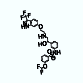 O=S(=O)(Nc1cccc(C(O)CNCCOc2ccc3c(C(F)(F)F)n[nH]c3c2)c1)c1cccc(OC(F)F)c1